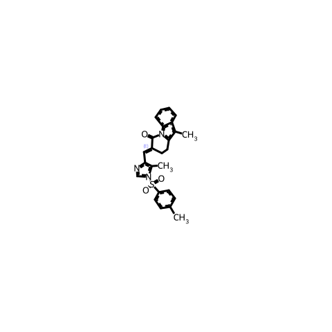 Cc1ccc(S(=O)(=O)n2cnc(/C=C3\CCc4c(C)c5ccccc5n4C3=O)c2C)cc1